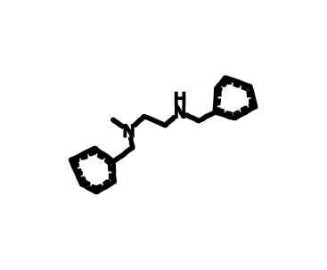 CN(CCNCc1ccccc1)Cc1ccccc1